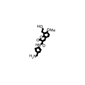 COc1ccc2cc(C(=O)Nc3ccc(CN)cc3)c(=O)oc2c1CCO